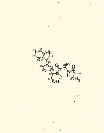 CC(C)[C@H](NC(=O)[C@H](C)N)C(=O)N(C)[C@@H](CO)c1nc(-c2csc3ccccc23)cs1